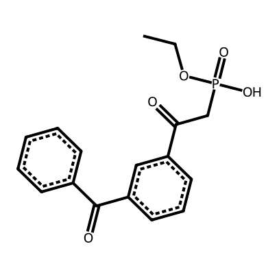 CCOP(=O)(O)CC(=O)c1cccc(C(=O)c2ccccc2)c1